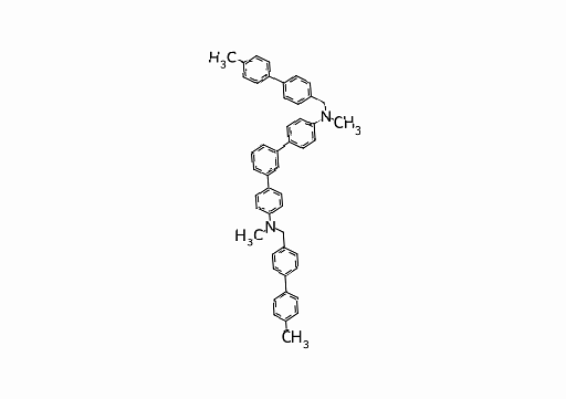 Cc1ccc(-c2ccc(CN(C)c3ccc(-c4cccc(-c5ccc(N(C)Cc6ccc(-c7ccc(C)cc7)cc6)cc5)c4)cc3)cc2)cc1